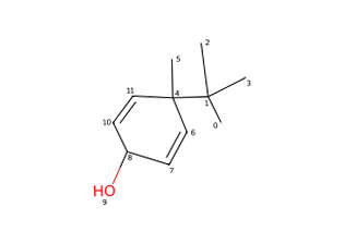 CC(C)(C)C1(C)C=CC(O)C=C1